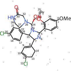 COc1ccc(C2=NC(C3=CC=C(Cl)CC3)C(c3ccc(Cl)cc3)N2[C@H](O)N2CCNC(=O)C2)c(OC(C)C)c1